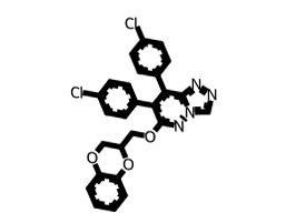 Clc1ccc(-c2c(OCC3COc4ccccc4O3)nn3cnnc3c2-c2ccc(Cl)cc2)cc1